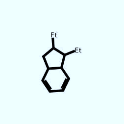 CCC1CC2C=CC=CC2C1CC